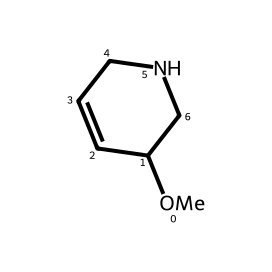 COC1C=CCNC1